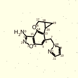 Nc1noc2cc(Cn3cccn3)c3c(c12)OCC1CC31